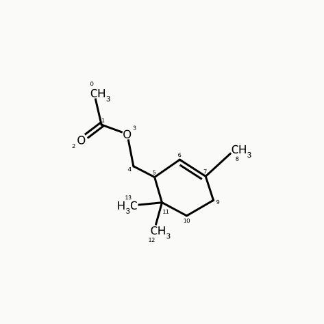 CC(=O)OCC1C=C(C)CCC1(C)C